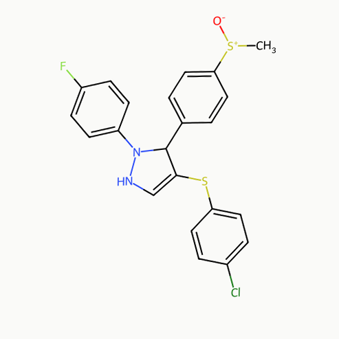 C[S+]([O-])c1ccc(C2C(Sc3ccc(Cl)cc3)=CNN2c2ccc(F)cc2)cc1